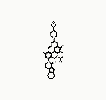 C=C/C=C(\Cc1cc(-c2cc(F)cc(N3CCn4c(cc5c4CCCC5)C3=O)c2COC(C)=O)cn(C)c1=O)N1CCN(C2COC2)CC1